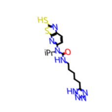 CC(C)N(C(=O)NCCCCCc1nnn[nH]1)c1ccc2nc(S)sc2n1